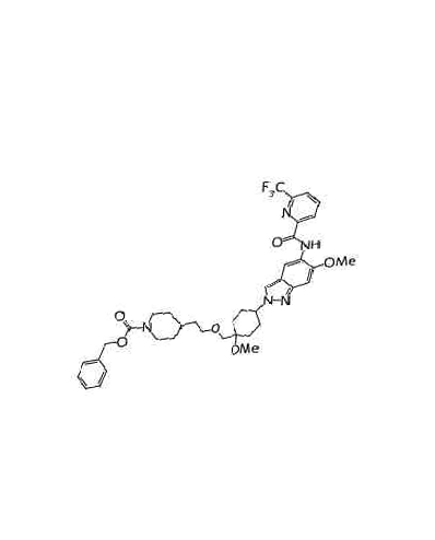 COc1cc2nn(C3CCC(COCCC4CCN(C(=O)OCc5ccccc5)CC4)(OC)CC3)cc2cc1NC(=O)c1cccc(C(F)(F)F)n1